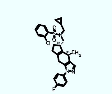 C[C@@H]1C2=C(CC[C@@H]2CN(CC2CC2)S(=O)(=O)c2ccccc2Cl)Cc2c1cnn2-c1ccc(F)cc1